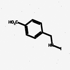 O=C(O)c1ccc(CNI)cc1